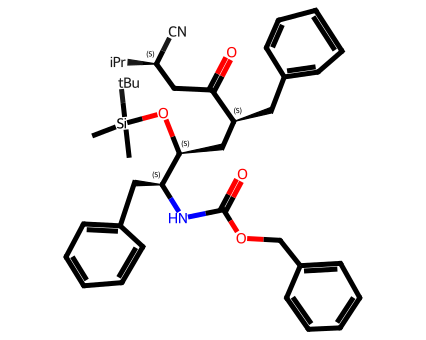 CC(C)[C@@H](C#N)CC(=O)[C@@H](Cc1ccccc1)C[C@H](O[Si](C)(C)C(C)(C)C)[C@H](Cc1ccccc1)NC(=O)OCc1ccccc1